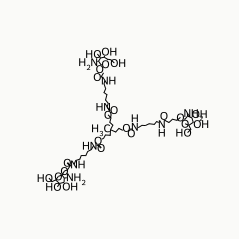 CC(CCCOC(=O)NCCCCCCNC(=O)CCCOC1OC(CO)C(O)C(O)C1N)(CCCOC(=O)NCCCCCCNC(=O)COC1OC(CO)C(O)C(O)C1N)CCCOC(=O)NCCCCCCNC(=O)COC1OC(CO)C(O)C(O)C1N